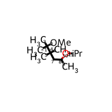 COC(C)(C)C(C)(C)CC(C)OC(C)C